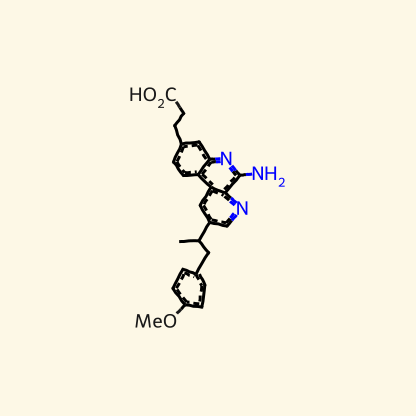 COc1ccc(CC(C)c2cnc3c(N)nc4cc(CCC(=O)O)ccc4c3c2)cc1